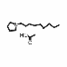 CC(=O)O.CCCCCCCCCN1CCCC1